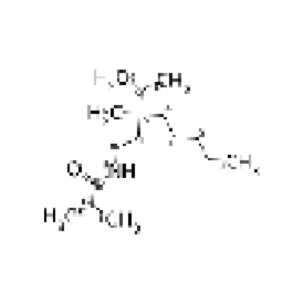 CCCCCC(C)(CCNC(=O)C(C)C)C(C)C